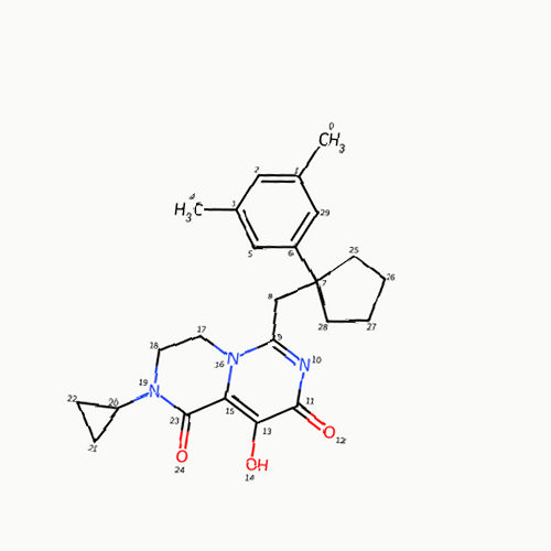 Cc1cc(C)cc(C2(Cc3nc(=O)c(O)c4n3CCN(C3CC3)C4=O)CCCC2)c1